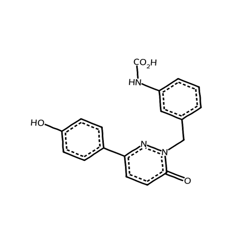 O=C(O)Nc1cccc(Cn2nc(-c3ccc(O)cc3)ccc2=O)c1